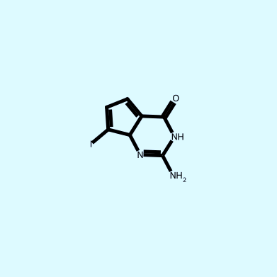 NC1=NC2C(I)=CC=C2C(=O)N1